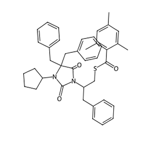 Cc1cc(C)c(C(=O)SCC(Cc2ccccc2)N2C(=O)N(C3CCCC3)C(Cc3ccccc3)(Cc3ccccc3)C2=O)c(C)c1